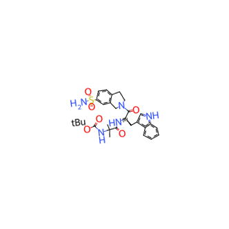 CC(C)(C)OC(=O)NC(C)(C)C(=O)N[C@H](Cc1c[nH]c2ccccc12)C(=O)N1CCc2ccc(S(N)(=O)=O)cc2C1